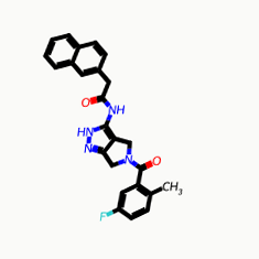 Cc1ccc(F)cc1C(=O)N1Cc2n[nH]c(NC(=O)Cc3ccc4ccccc4c3)c2C1